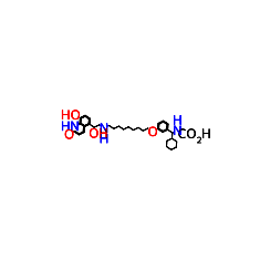 O=C(O)NC(c1cccc(OCCCCCCCCCNCC(O)c2ccc(O)c3[nH]c(=O)ccc23)c1)C1CCCCC1